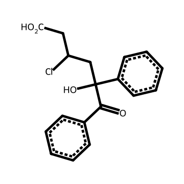 O=C(O)CC(Cl)CC(O)(C(=O)c1ccccc1)c1ccccc1